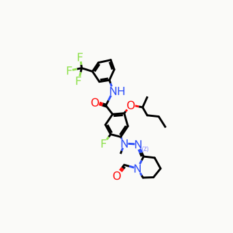 CCCC(C)Oc1cc(N(C)/N=C2/CCCCN2C=O)c(F)cc1C(=O)Nc1cccc(C(F)(F)F)c1